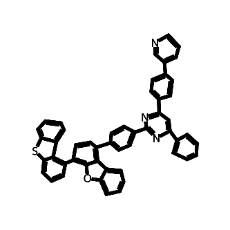 c1ccc(-c2cc(-c3ccc(-c4cccnc4)cc3)nc(-c3ccc(-c4ccc(-c5cccc6sc7ccccc7c56)c5oc6ccccc6c45)cc3)n2)cc1